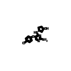 Nc1ncc(Oc2ccc(Cl)cc2)c(N[C@@H]2CC[C@@H](O)C2)n1